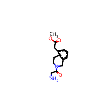 COC(=O)Cc1cccc2c1CCN(C(=O)CN)C2